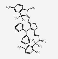 C=C(/C=C/C1=C(N(c2ccccc2)c2ccccc2)C(=C/C=C2/N(C)c3ccc(C)cc3C2(C)C)/CC1)C(C)(C)c1cc(C)ccc1C